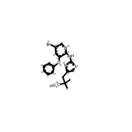 CC(C)(Cc1csc(Nc2ncc(Br)cc2Oc2ccccc2)n1)C(=O)O